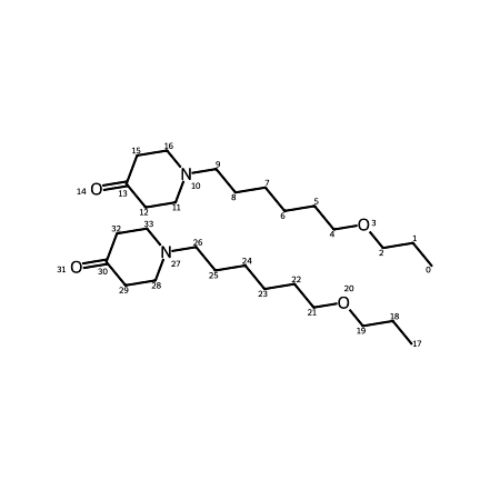 CCCOCCCCCCN1CCC(=O)CC1.CCCOCCCCCCN1CCC(=O)CC1